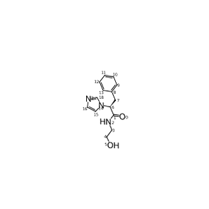 O=C(NCCO)[C@H](Cc1ccccc1)n1ccnc1